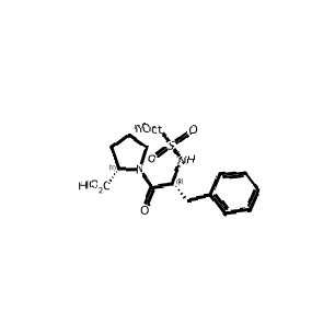 CCCCCCCCS(=O)(=O)N[C@H](Cc1ccccc1)C(=O)N1CCC[C@H]1C(=O)O